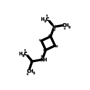 CC(C)NC1CC(N(C)C)C1